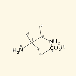 CC(=O)O.CC(N)C(C)(C)N